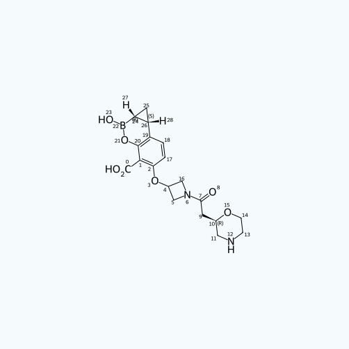 O=C(O)c1c(OC2CN(C(=O)C[C@@H]3CNCCO3)C2)ccc2c1OB(O)[C@@H]1C[C@H]21